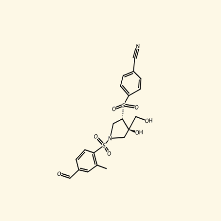 Cc1cc(C=O)ccc1S(=O)(=O)N1C[C@H](S(=O)(=O)c2ccc(C#N)cc2)[C@](O)(CO)C1